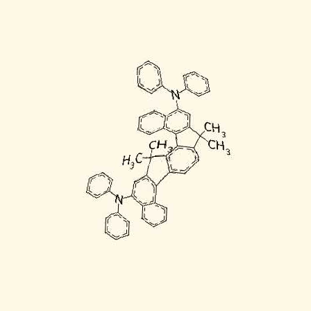 CC1(C)c2ccc3c(c2-c2c1cc(N(c1ccccc1)c1ccccc1)c1ccccc21)C(C)(C)c1cc(N(c2ccccc2)c2ccccc2)c2ccccc2c1-3